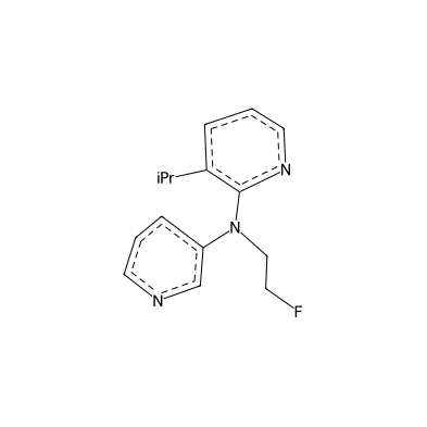 CC(C)c1cccnc1N(CCF)c1cccnc1